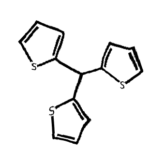 c1csc(C(c2cccs2)c2cccs2)c1